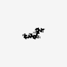 Cc1cn(-c2ccnc3[nH]c(-c4n[nH]c5ccc(-c6cncc(CN7CCC(F)(F)C7)c6)cc45)cc23)cn1